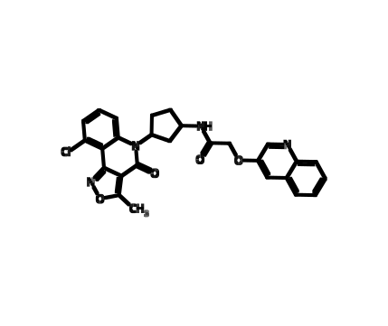 Cc1onc2c1c(=O)n(C1CCC(NC(=O)COc3cnc4ccccc4c3)C1)c1cccc(Cl)c21